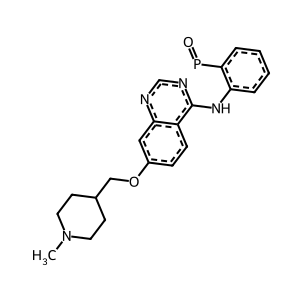 CN1CCC(COc2ccc3c(Nc4ccccc4P=O)ncnc3c2)CC1